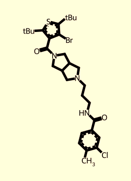 Cc1ccc(C(=O)NCCCN2CC3CN(C(=O)c4c(C(C)(C)C)sc(C(C)(C)C)c4Br)CC3C2)cc1Cl